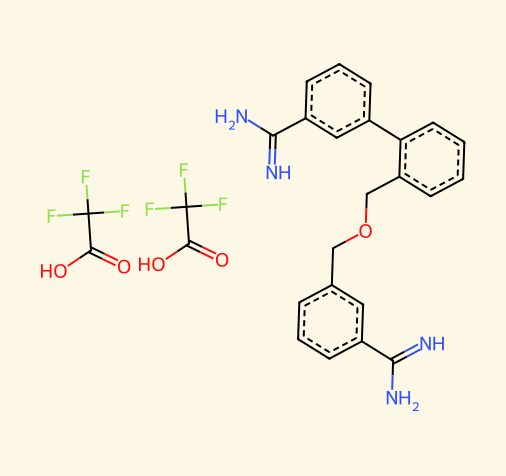 N=C(N)c1cccc(COCc2ccccc2-c2cccc(C(=N)N)c2)c1.O=C(O)C(F)(F)F.O=C(O)C(F)(F)F